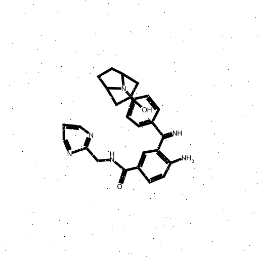 N=C(c1ccc(N2C3CCC2CC(O)C3)cc1)c1cc(C(=O)NCc2ncccn2)ccc1N